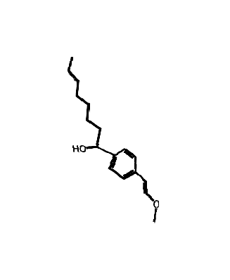 CCCCCCCC(O)c1ccc(C=COC)cc1